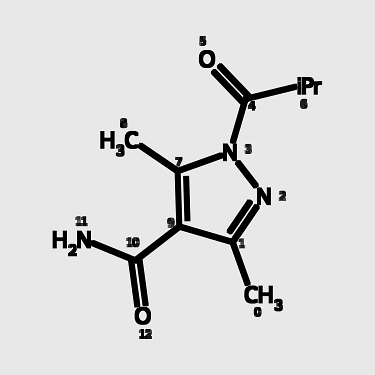 Cc1nn(C(=O)C(C)C)c(C)c1C(N)=O